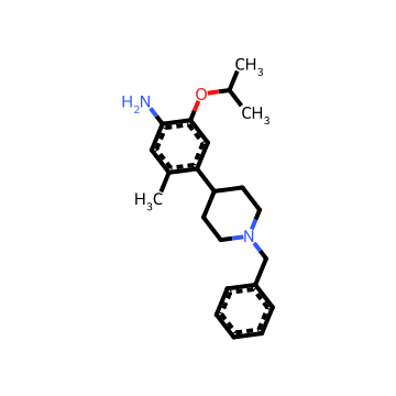 Cc1cc(N)c(OC(C)C)cc1C1CCN(Cc2ccccc2)CC1